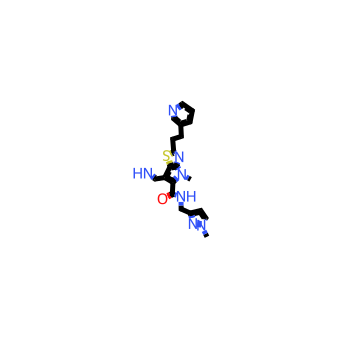 Cn1ccc(CNC(=O)c2c(C=N)c3sc(CCc4cccnc4)nc3n2C)n1